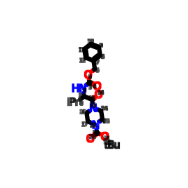 CC(C)C(NC(=O)OCc1ccccc1)C(=O)N1CCN(C(=O)OC(C)(C)C)CC1